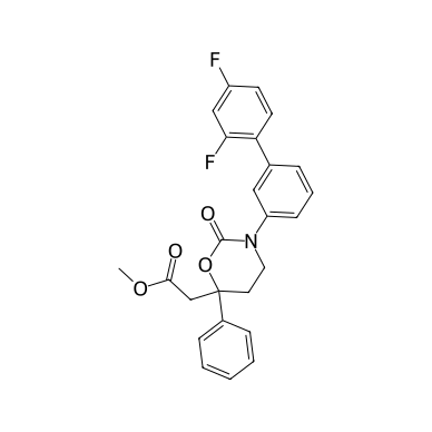 COC(=O)CC1(c2ccccc2)CCN(c2cccc(-c3ccc(F)cc3F)c2)C(=O)O1